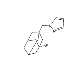 BrC12CC3CC(C1)CC(Cn1cccn1)(C3)C2